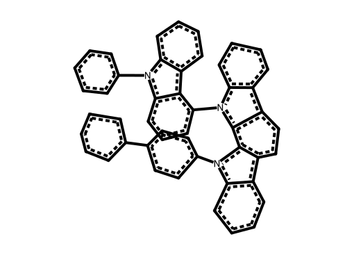 c1ccc(-c2ccc(-n3c4ccccc4c4ccc5c6ccccc6n(-c6cccc7c6c6ccccc6n7-c6ccccc6)c5c43)cc2)cc1